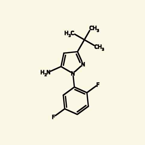 CC(C)(C)c1cc(N)n(-c2cc(F)ccc2F)n1